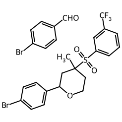 CC1(S(=O)(=O)c2cccc(C(F)(F)F)c2)CCOC(c2ccc(Br)cc2)C1.O=Cc1ccc(Br)cc1